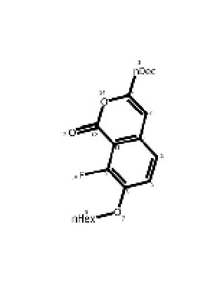 CCCCCCCCCCc1cc2ccc(OCCCCCC)c(F)c2c(=O)o1